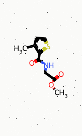 COC(=O)CNC(=O)c1sccc1C